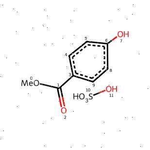 COC(=O)c1ccc(O)cc1.O=S(=O)(O)O